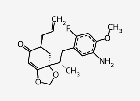 C=CC[C@H]1C[C@]2([C@@H](C)Cc3cc(N)c(OC)cc3F)OCOC2=CC1=O